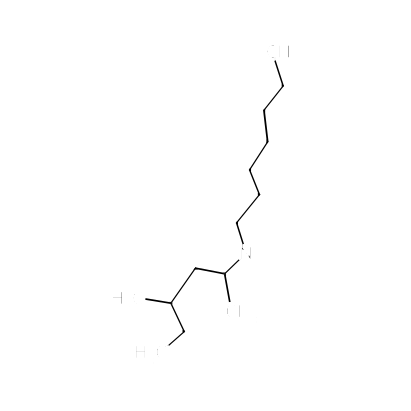 CCCCCCC[N]C(C)CC(C)CC